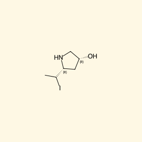 CC(I)[C@H]1C[C@@H](O)CN1